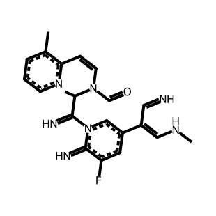 CN/C=C(\C=N)c1cc(F)c(=N)n(C(=N)C(C)N(C=O)/C=C\c2ncccc2C)c1